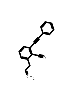 C=CCc1cccc(C#Cc2ccccc2)c1C#N